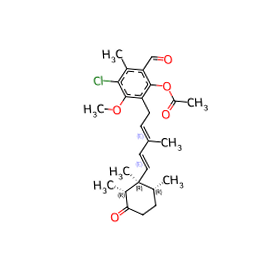 COc1c(Cl)c(C)c(C=O)c(OC(C)=O)c1C/C=C(C)/C=C/[C@@]1(C)[C@H](C)CCC(=O)[C@@H]1C